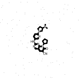 CN(C)C1CCN(c2ccc(Nc3ncc4cc(C#N)c(=O)n(C5CCCC5)c4n3)cn2)C1